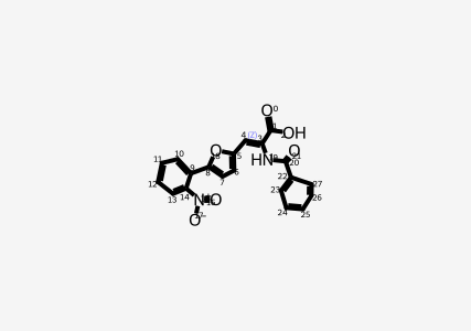 O=C(O)/C(=C/c1ccc(-c2ccccc2[N+](=O)[O-])o1)NC(=O)c1ccccc1